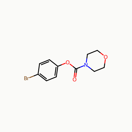 O=C(Oc1ccc(Br)cc1)N1CCOCC1